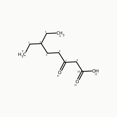 CCC(CC)CCC(=O)CC(=O)O